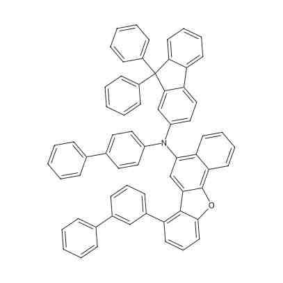 c1ccc(-c2ccc(N(c3ccc4c(c3)C(c3ccccc3)(c3ccccc3)c3ccccc3-4)c3cc4c(oc5cccc(-c6cccc(-c7ccccc7)c6)c54)c4ccccc34)cc2)cc1